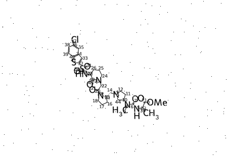 COC(=O)[C@H](C)NC(=O)N(C)C1CCN(C[C@@H]2CCCN2C(=O)CN2CCC[C@H](NS(=O)(=O)c3cc4cc(Cl)ccc4s3)C2=O)C1